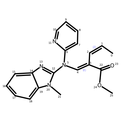 C/C=C\C(=C/N(c1ccccn1)c1nc2ccccc2n1C)C(=O)OC